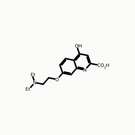 CCN(CC)CCOc1ccc2c(O)cc(C(=O)O)nc2c1